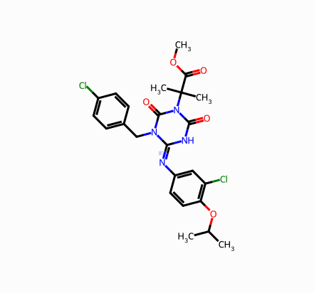 COC(=O)C(C)(C)n1c(=O)[nH]/c(=N\c2ccc(OC(C)C)c(Cl)c2)n(Cc2ccc(Cl)cc2)c1=O